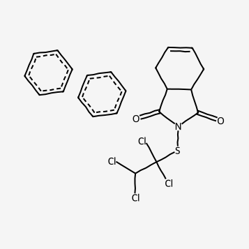 O=C1C2CC=CCC2C(=O)N1SC(Cl)(Cl)C(Cl)Cl.c1ccccc1.c1ccccc1